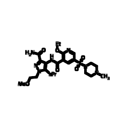 CCCc1c(NC(=O)c2cc(S(=O)(=O)N3CCN(C)CC3)cnc2OCC)c(C(N)=O)nn1CCOC